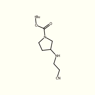 CC(C)(C)OC(=O)N1CCC(NCCC#N)C1